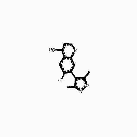 Cc1noc(C)c1-c1cc2nccc(O)c2cc1Cl